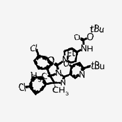 CCOc1cc(C(C)(C)C)ncc1C1=N[C@@](C)(c2ccc(Cl)cc2)C(C)(c2ccc(Cl)cc2)N1C(=O)N1CCC(NC(=O)OC(C)(C)C)CC1